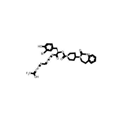 O=C(N=C=C=CN=C=C=C(O)C(F)(F)F)[C@@H](Cc1ccc(O)c(Br)c1)OC(=O)N1CCC(N2CCc3ccccc3NC2=O)CC1